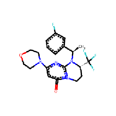 C[C@H](c1cccc(F)c1)N1c2nc(N3CCOCC3)cc(=O)n2CC[C@H]1C(F)(F)F